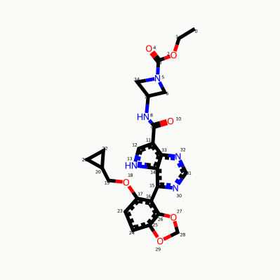 CCOC(=O)N1CC(NC(=O)c2c[nH]c3c(-c4c(OCC5CC5)ccc5c4OCO5)ncnc23)C1